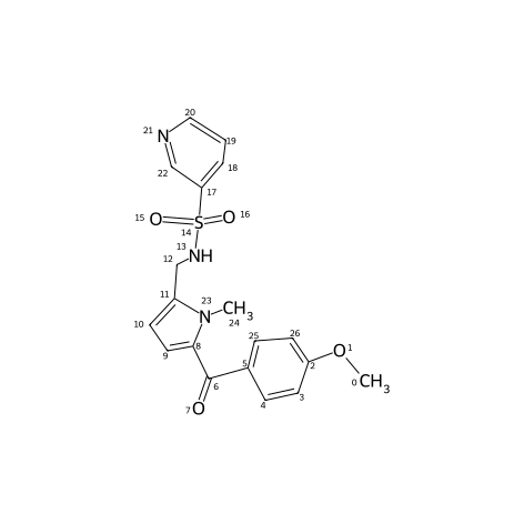 COc1ccc(C(=O)c2ccc(CNS(=O)(=O)c3cccnc3)n2C)cc1